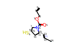 C=CCOC(=O)N1C[C@@H](S)C[C@H]1/C=C/CF